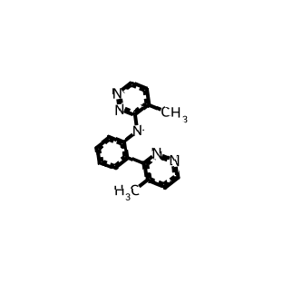 Cc1ccnnc1[N]c1ccccc1-c1nnccc1C